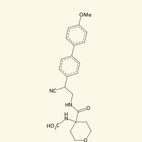 COc1ccc(-c2ccc(C(C#N)CNC(=O)C3(NC(=O)O)CCOCC3)cc2)cc1